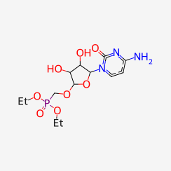 CCOP(=O)(COC1OC(n2ccc(N)nc2=O)C(O)C1O)OCC